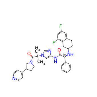 CC(C)(C(=O)N1CCC(c2ccncc2)C1)n1cnc(NC(=O)[C@@H](NC2CCc3cc(F)cc(F)c3C2)c2ccccc2)c1